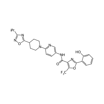 CC(C)c1noc(C2CCN(c3ccc(NC(=O)c4nc(-c5ccccc5O)oc4C(F)(F)F)cn3)CC2)n1